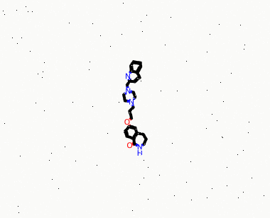 O=C1NCCCc2cc(OCCCN3CCN(Cc4ccc5ccccc5n4)CC3)ccc21